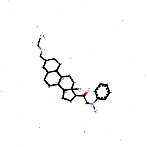 CCOCC1CCC2C(CCC3C2CCC2(C)C(C(=O)CN(C)c4ccccc4)CCC32)C1